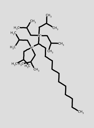 CCCCCCCCCCCC([N+](CC(C)C)(CC(C)C)CC(C)C)[N+](CC(C)C)(CC(C)C)CC(C)C